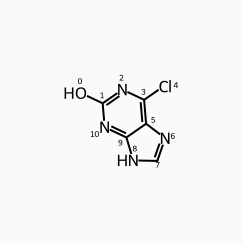 Oc1nc(Cl)c2nc[nH]c2n1